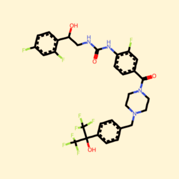 O=C(NCC(O)c1ccc(F)cc1F)Nc1ccc(C(=O)N2CCN(Cc3ccc(C(O)(C(F)(F)F)C(F)(F)F)cc3)CC2)cc1F